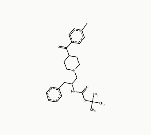 CC(C)(C)OC(=O)NC(Cc1ccccc1)CN1CCC(C(=O)c2ccc(F)cc2)CC1